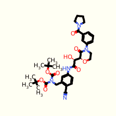 CC(C)(C)OC(=O)N(Cc1cc(NC(=O)[C@H](O)[C@H]2OCCN(c3cccc(C(=O)N4CCCC4)c3)C2=O)ccc1C#N)C(=O)OC(C)(C)C